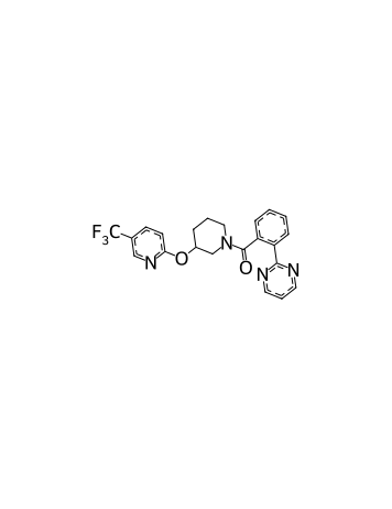 O=C(c1ccccc1-c1ncccn1)N1CCCC(Oc2ccc(C(F)(F)F)cn2)C1